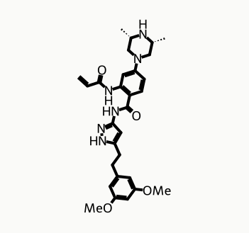 C=CC(=O)Nc1cc(N2C[C@@H](C)N[C@@H](C)C2)ccc1C(=O)Nc1cc(CCc2cc(OC)cc(OC)c2)[nH]n1